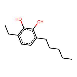 CCCCCc1ccc(CC)c(O)c1O